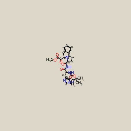 COC(=O)C(=O)C(Cc1ccccc1)N1CCC[C@H]1C(=O)NC(=O)[C@H](Cc1c[nH]cn1)NC(=O)OC(C)(C)C